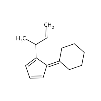 C=CC(C)C1=CC=CC1=C1CCCCC1